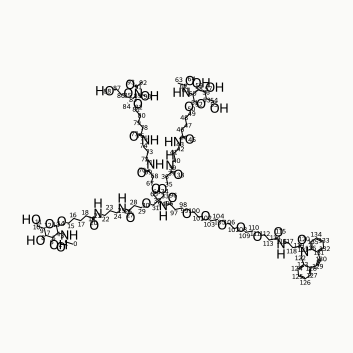 CC(=O)NC1C(O)[C@@H](O)C(CO)O[C@H]1OCCCCC(=O)NCCCNC(=O)CCOCC(COCCC(=O)NCCCNC(=O)CCCCO[C@@H]1OC(CO)[C@H](O)C(O)C1NC(C)=O)(COCCC(=O)NCCCNC(=O)CCCCO[C@@](C)(OCCO)N(O)C(C)=O)NC(=O)CCOCCOCCOCCOCCOCCC(=O)NCCC(=O)N1Cc2ccccc2C#Cc2ccccc21